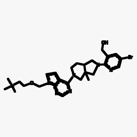 CC12CN(c3ncc(Br)cc3CO)CC1CCN(c1ncnc3c1ccn3COCC[Si](C)(C)C)C2